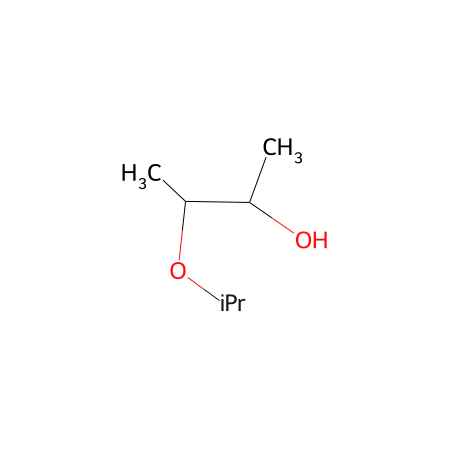 CC(C)OC(C)C(C)O